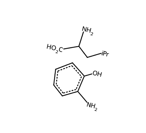 CC(C)CC(N)C(=O)O.Nc1ccccc1O